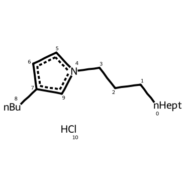 CCCCCCCCCCn1ccc(CCCC)c1.Cl